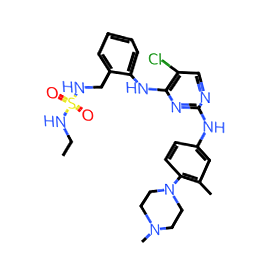 CCNS(=O)(=O)NCc1ccccc1Nc1nc(Nc2ccc(N3CCN(C)CC3)c(C)c2)ncc1Cl